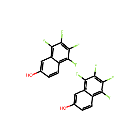 Oc1[c]c2c(F)c(F)c(F)c(F)c2cc1.Oc1[c]c2c(F)c(F)c(F)c(F)c2cc1